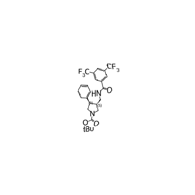 CC(C)(C)OC(=O)N1C[C@H](CNC(=O)c2cc(C(F)(F)F)cc(C(F)(F)F)c2)[C@H](c2ccccc2)C1